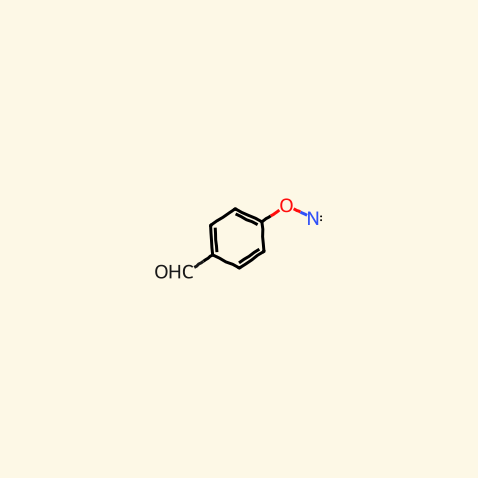 [N]Oc1ccc(C=O)cc1